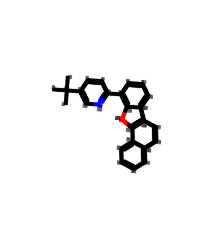 CC(C)(C)c1ccc(-c2cccc3c2oc2c4ccccc4ccc32)nc1